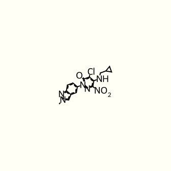 Cn1cc2cc(-n3nc([N+](=O)[O-])c(NCC4CC4)c(Cl)c3=O)ccc2n1